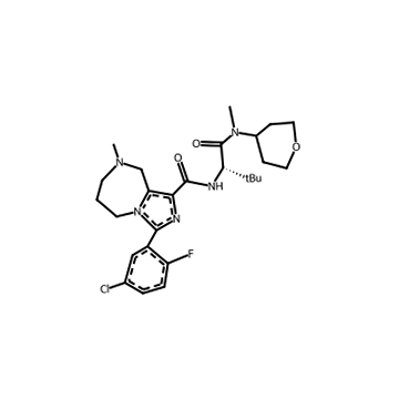 CN1CCCn2c(-c3cc(Cl)ccc3F)nc(C(=O)N[C@H](C(=O)N(C)C3CCOCC3)C(C)(C)C)c2C1